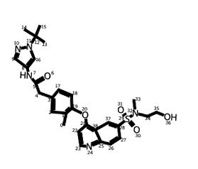 Cc1cc(CC(=O)Nc2cnn(C(C)(C)C)c2)ccc1Oc1ccnc2ccc(S(=O)(=O)N(C)CCO)cc12